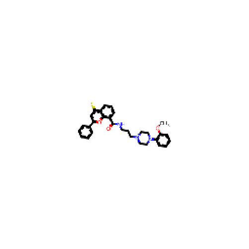 COc1ccccc1N1CCN(CCCNC(=O)c2cccc3c(=S)cc(-c4ccccc4)oc23)CC1